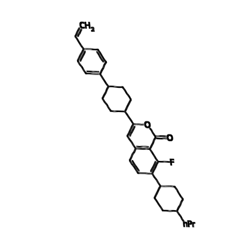 C=Cc1ccc(C2CCC(c3cc4ccc(C5CCC(CCC)CC5)c(F)c4c(=O)o3)CC2)cc1